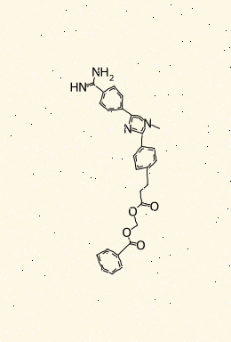 Cn1cc(-c2ccc(C(=N)N)cc2)nc1-c1ccc(CCC(=O)OCOC(=O)c2ccccc2)cc1